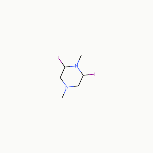 CN1CC(I)N(C)C(I)C1